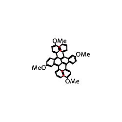 COc1ccc(-c2c3ccc(OC)cc3c(-c3ccccc3)c3c(-c4ccc(OC)cc4)c4ccc(OC)cc4c(-c4ccccc4)c23)cc1